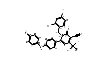 N#Cc1c(C(F)(F)F)cc(-c2ccc(Oc3ccc(F)cc3)cc2)n(Cc2ccc(F)cc2F)c1=O